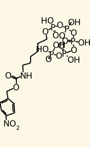 O=C(NCCCCCCOP(=O)(O)OP(=O)(O)OP(=O)(O)OP(=O)(O)OP(=O)(O)O)OCc1ccc([N+](=O)[O-])cc1